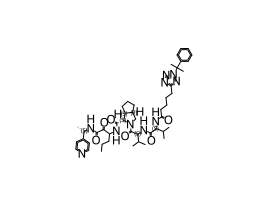 CCCC(NC(=O)[C@@H]1[C@H]2CCC[C@H]2CN1C(=O)[C@@H](NC(=O)[C@@H](NC(=O)CCCCc1nnn(C(C)(C)c2ccccc2)n1)C(C)C)C(C)C)C(=O)C(=O)N[C@@H](C)c1ccncc1